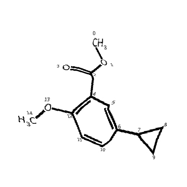 COC(=O)c1cc(C2CC2)ccc1OC